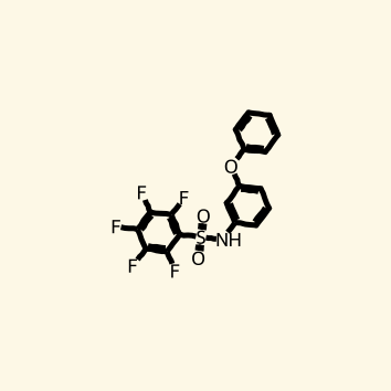 O=S(=O)(Nc1cccc(Oc2ccccc2)c1)c1c(F)c(F)c(F)c(F)c1F